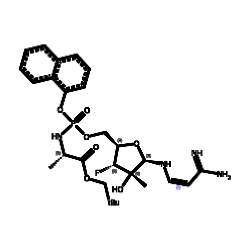 C[C@H](NP(=O)(OC[C@H]1O[C@@H](N/C=C\C(=N)N)[C@](C)(O)[C@@H]1F)Oc1cccc2ccccc12)C(=O)OCC(C)(C)C